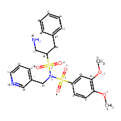 COc1ccc(S(=O)(=O)N(Cc2cccnc2)S(=O)(=O)C(CN)Cc2ccccc2)cc1OC